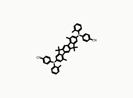 [C-]#[N+]c1ccc(N(c2cc(C)c3c(c2)C(C)(C)c2cc4c(cc2-3)C(C)(C)c2cc(N(c3ccc(C#N)cc3)c3ccccc3C)cc(C)c2-4)c2ccccc2C)cc1